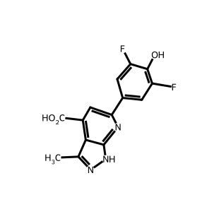 Cc1n[nH]c2nc(-c3cc(F)c(O)c(F)c3)cc(C(=O)O)c12